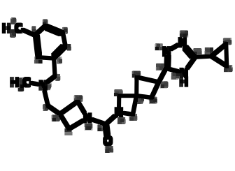 Cc1cccc(CN(C)CC2CN(C(=O)N3CC4(CC(c5nnc(C6CC6)[nH]5)C4)C3)C2)c1